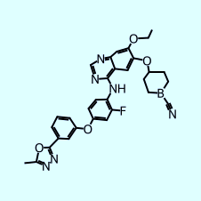 CCOc1cc2ncnc(Nc3ccc(Oc4cccc(-c5nnc(C)o5)c4)cc3F)c2cc1OC1CCB(C#N)CC1